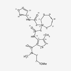 COCCN(C)C(=O)c1scc(C)c1NC(=O)C[N+]1(CC(=O)Nc2ccon2)CCCCCC1